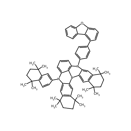 CC1(C)CCC(C)(C)c2cc(N3c4cc5c(cc4B4c6cc7c(cc6N(c6ccc(-c8cccc9oc%10ccccc%10c89)cc6)c6cccc3c64)C(C)(C)CCC7(C)C)C(C)(C)CCC5(C)C)ccc21